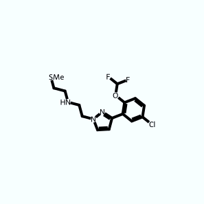 CSCCNCCn1ccc(-c2cc(Cl)ccc2OC(F)F)n1